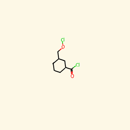 O=C(Cl)C1CCCC(COCl)C1